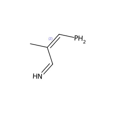 C/C(C=N)=C/P